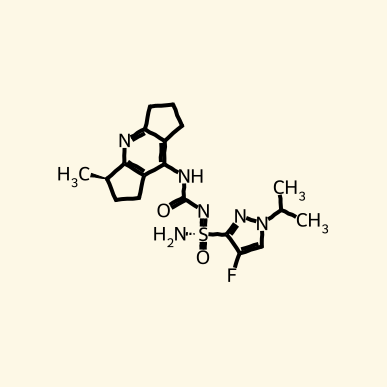 CC(C)n1cc(F)c([S@@](N)(=O)=NC(=O)Nc2c3c(nc4c2CC[C@H]4C)CCC3)n1